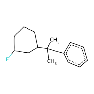 CC(C)(c1ccccc1)C1CCCC(F)C1